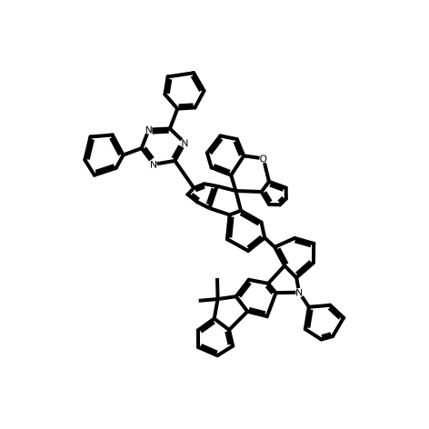 CC1(C)c2ccccc2-c2cc3c(cc21)c1c(-c2ccc4c(c2)C2(c5ccccc5Oc5ccccc52)c2cc(-c5nc(-c6ccccc6)nc(-c6ccccc6)n5)ccc2-4)cccc1n3-c1ccccc1